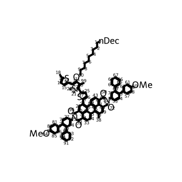 CCCCCCCCCCCCCCCCCCCCOC1=C(c2ccc(C)s2)[Si](C)(C)C(c2ccc(-c3cc4c5c(ccc6c7c(C)cc8c9c(ccc(c3c56)c97)C(=O)N(c3ccc(-c5ccc(OC)cc5)c(-c5ccccc5)c3)C8=O)C(=O)N(c3ccc(-c5ccc(OC)cc5)c(-c5ccccc5)c3)C4=O)s2)=C1C